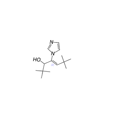 CC(C)(C)/C=C(/C(O)C(C)(C)C)n1ccnc1